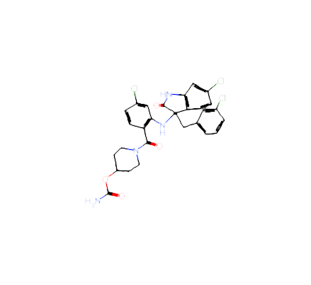 NC(=O)OC1CCN(C(=O)c2ccc(Cl)cc2NC2(Cc3cccc(Cl)c3)C(=O)Nc3cc(Cl)ccc32)CC1